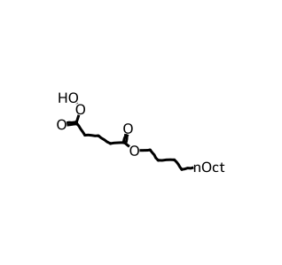 CCCCCCCCCCCCOC(=O)CCCC(=O)OO